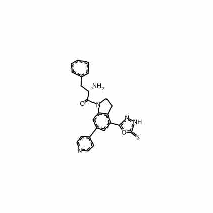 N[C@@H](Cc1ccccc1)C(=O)N1CCc2c(-c3n[nH]c(=S)o3)cc(-c3ccncc3)cc21